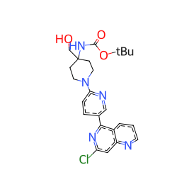 CC(C)(C)OC(=O)NC1(CO)CCN(c2ccc(-c3nc(Cl)cc4ncccc34)cn2)CC1